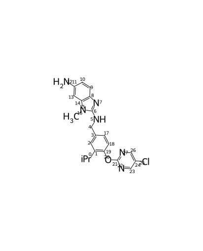 CC(C)c1cc(CNc2nc3ccc(N)cc3n2C)ccc1Oc1ncc(Cl)cn1